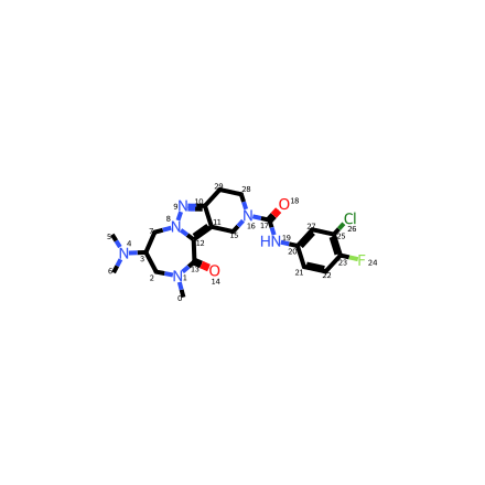 CN1CC(N(C)C)Cn2nc3c(c2C1=O)CN(C(=O)Nc1ccc(F)c(Cl)c1)CC3